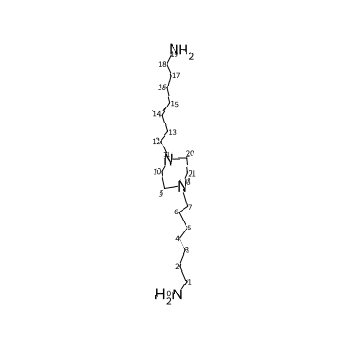 NCCCCCCCN1CCN(CCCCCCCN)CC1